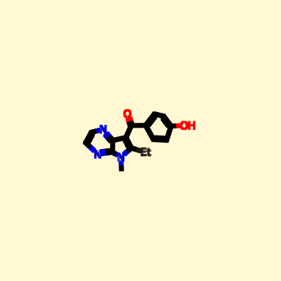 CCc1c(C(=O)c2ccc(O)cc2)c2nccnc2n1C